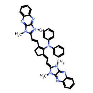 CN1C(=CC=C2CCC(C=Cc3n(C)c4nc5ccccc5nc4[n+]3C)=C2N(c2ccccc2)c2ccccc2)N(C)c2nc3ccccc3nc21